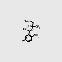 Nc1ccc(I)cc1C(O)OC(CS(=O)(=O)O)(C(F)(F)F)C(F)(F)F